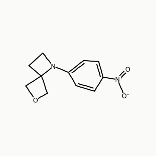 O=[N+]([O-])c1ccc(N2CCC23COC3)cc1